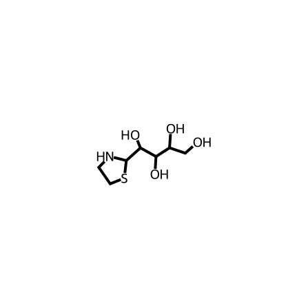 OCC(O)C(O)C(O)C1NCCS1